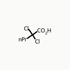 CCCC(Cl)(Cl)C(=O)O